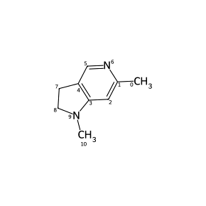 Cc1cc2c(cn1)CCN2C